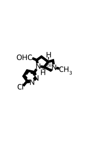 CN1C[C@@H]2CC(C=O)N(c3ccc(Cl)nn3)[C@@H]2C1